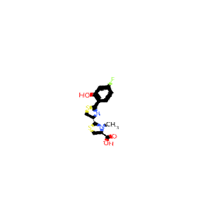 CN1C([C@@H]2CSC(c3ccc(F)cc3O)=N2)SC[C@@H]1C(=O)O